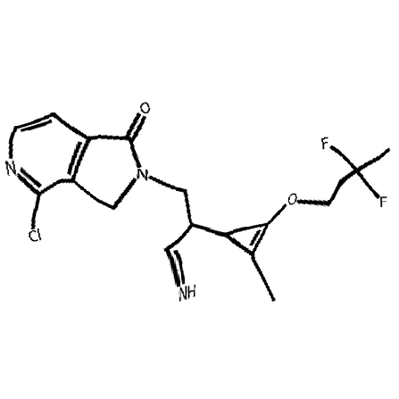 CC1=C(OCC(C)(F)F)C1C(C=N)CN1Cc2c(ccnc2Cl)C1=O